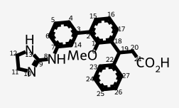 COc1c(-c2cccc(NC3=NCCN3)c2)cccc1C(CC(=O)O)c1ccccc1